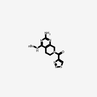 CCCCNc1nc(N)nc2c1CCN(C(=O)c1csnn1)C2